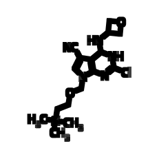 C[Si](C)(C)CCOCn1cc(C#N)c2c1N=C(Cl)NC2NC1COC1